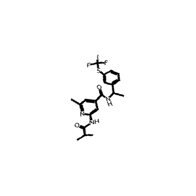 Cc1cc(C(=O)NC(C)c2cccc(SC(F)(F)I)c2)cc(NC(=O)C(C)C)n1